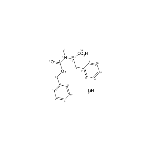 CN(C(=O)OCc1ccccc1)[C@@H](Cc1ccccc1)C(=O)O.[LiH]